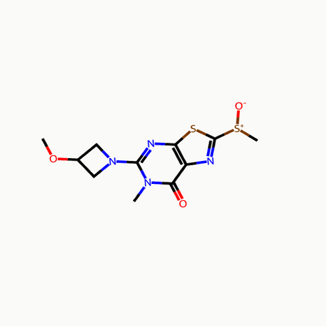 COC1CN(c2nc3sc([S+](C)[O-])nc3c(=O)n2C)C1